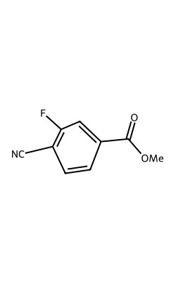 COC(=O)c1ccc(C#N)c(F)c1